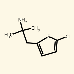 CC(C)(N)Cc1ccc(Cl)s1